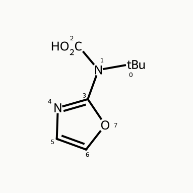 CC(C)(C)N(C(=O)O)c1ncco1